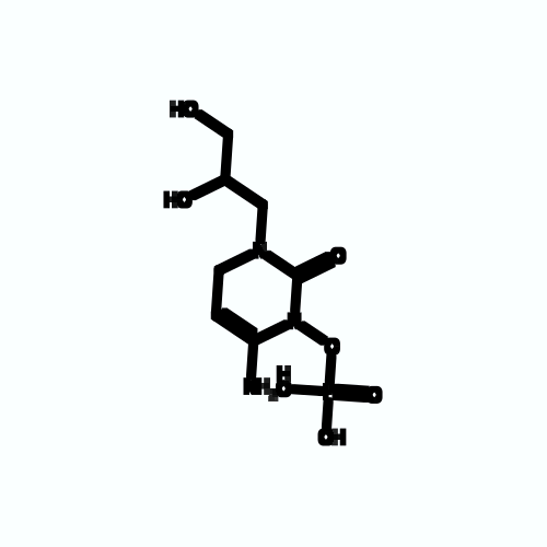 NC1=CCN(CC(O)CO)C(=O)N1OP(=O)(O)O